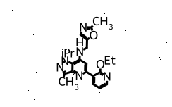 CCOc1ncccc1-c1cc(NCc2cnc(C)o2)c2c(n1)c(C)nn2C(C)C